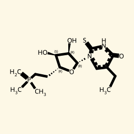 C=P(C)(C)CC[C@H]1O[C@@H](n2cc(CC)c(=O)[nH]c2=S)[C@H](O)[C@@H]1O